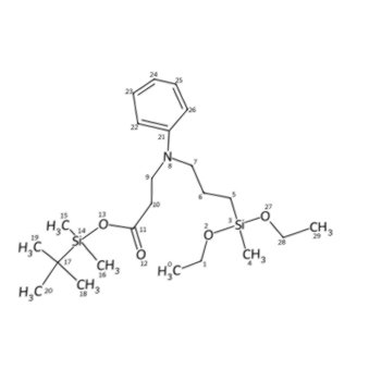 CCO[Si](C)(CCCN(CCC(=O)O[Si](C)(C)C(C)(C)C)c1ccccc1)OCC